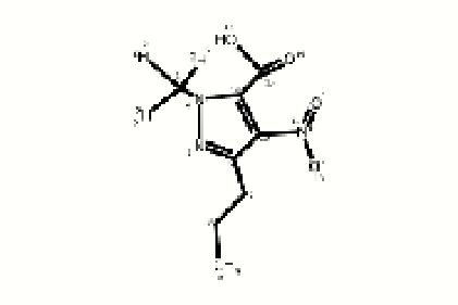 [2H]C([2H])([2H])n1nc(CCC)c([N+](=O)[O-])c1C(=O)O